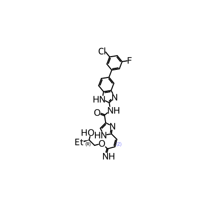 CC[C@@H](O)COC(=N)/C=C\c1nc(C(=O)Nc2nc3cc(-c4cc(F)cc(Cl)c4)ccc3[nH]2)c[nH]1